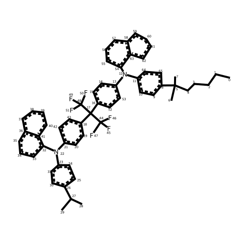 CCCCCC(C)(C)c1ccc(N(c2ccc(C(c3ccc(N(c4ccc(C(C)C)cc4)c4cccc5ccccc45)cc3)(C(F)(F)F)C(F)(F)F)cc2)c2cccc3ccccc23)cc1